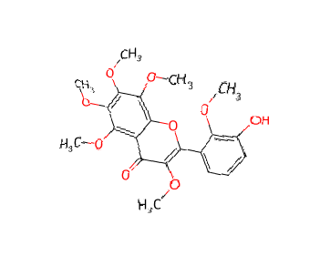 COc1c(O)cccc1-c1oc2c(OC)c(OC)c(OC)c(OC)c2c(=O)c1OC